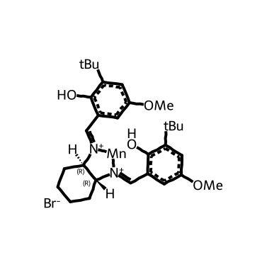 COc1cc(C=[N+]2[Mn][N+](=Cc3cc(OC)cc(C(C)(C)C)c3O)[C@@H]3CCCC[C@H]32)c(O)c(C(C)(C)C)c1.[Br-]